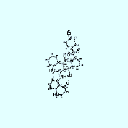 C[C@H](Nc1ncnc2[nH]ccc(=O)c12)c1c(Cl)c2cccc(S(=O)(=O)c3ccc(Cl)cc3)c2c(=O)n1-c1ccccc1